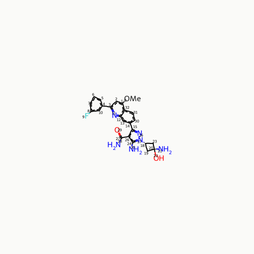 COc1cc(-c2cccc(F)c2)nc2cc(-c3nn([C@H]4C[C@@](N)(O)C4)c(N)c3C(N)=O)ccc12